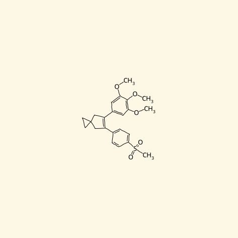 COc1cc(C2=C(c3ccc(S(C)(=O)=O)cc3)CC3(CC3)C2)cc(OC)c1OC